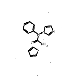 NC(=O)N(c1ccccc1)n1ccnc1.c1ccsc1